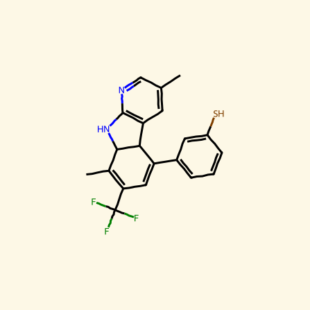 CC1=C(C(F)(F)F)C=C(c2cccc(S)c2)C2c3cc(C)cnc3NC12